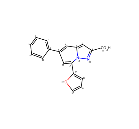 O=C(O)c1cc2cc(-c3ccccc3)cc(-c3ccco3)n2n1